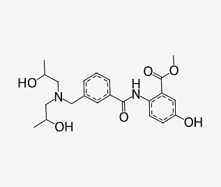 COC(=O)c1cc(O)ccc1NC(=O)c1cccc(CN(CC(C)O)CC(C)O)c1